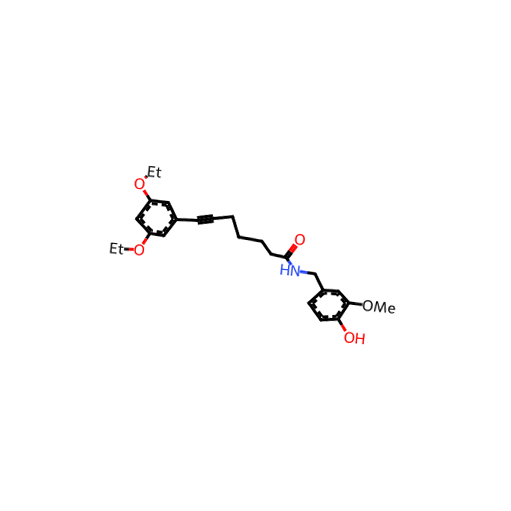 CCOc1cc(C#CCCCCC(=O)NCc2ccc(O)c(OC)c2)cc(OCC)c1